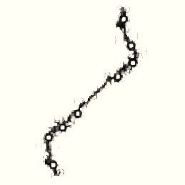 Cc1ccc(S(=O)(=O)Nc2ccc(NNOCn3ncc4cc([N+](=O)[O-])ccc43)cc2)c(C)c1NC(=O)C[n+]1cccc(CONCCOCCOCCNC(=O)c2ccc[n+](CC(=O)Nc3c(C)ccc(S(=O)(=O)Nc4ccc(NNCOn5ncc6cc([N+](=O)[O-])ccc65)cc4)c3C)c2)c1